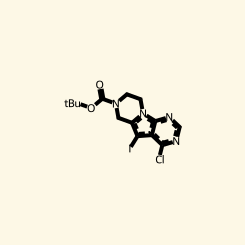 CC(C)(C)OC(=O)N1CCn2c(c(I)c3c(Cl)ncnc32)C1